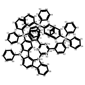 c1ccc(-n2c3cc([Si](c4ccccc4)(c4ccccc4)c4ccccc4)ccc3c3c2ccc2c4ccccc4n(-c4nc(-c5cccc([Si](c6ccccc6)(c6ccccc6)c6ccccc6)c5)nc(-c5cccc([Si](c6ccccc6)(c6ccccc6)c6ccccc6)c5)n4)c23)cc1